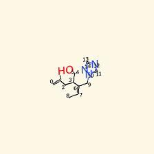 C=CC[C@@H](CO)/C(=C\C)Cn1cncn1